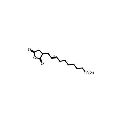 CCCCCCCCCCCCCCC/C=C/CC1CC(=O)OC1=O